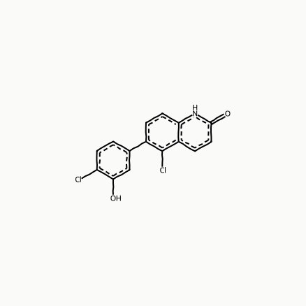 O=c1ccc2c(Cl)c(-c3ccc(Cl)c(O)c3)ccc2[nH]1